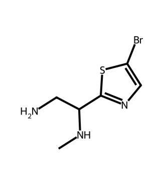 CNC(CN)c1ncc(Br)s1